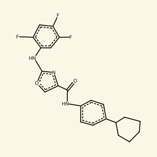 O=C(Nc1ccc(C2C[CH]CCC2)cc1)c1coc(Nc2cc(F)c(F)cc2F)n1